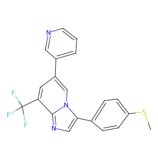 CSc1ccc(-c2cnc3c(C(F)(F)F)cc(-c4cccnc4)cn23)cc1